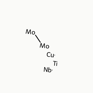 [Cu].[Mo][Mo].[Nb].[Ti]